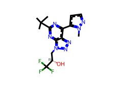 Cn1nccc1-c1nc(C(C)(C)C)nc2c1nnn2C[C@H](O)C(F)(F)F